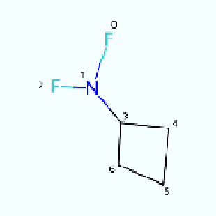 FN(F)C1CCC1